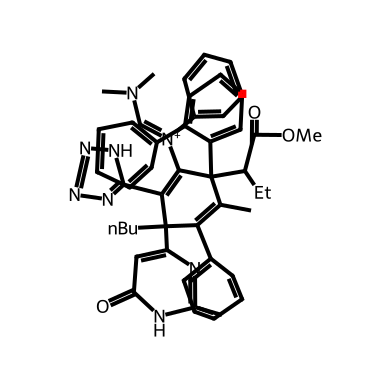 CCCCC1(c2cc(=O)[nH]c(C)n2)C(c2ccccc2)=C(C)C(c2ccccc2-c2ccccc2)(C(CC)C(=O)OC)C([N+](=CN(C)C)c2ccccc2)=C1c1nnn[nH]1